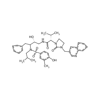 Cc1cc(S(=O)(=O)N(CC(C)C)C(Cc2ccccc2)[C@H](O)CNC(=O)[C@H](C(C)C)N2CCN(Cc3cnc4ccccc4c3)C2=O)ccc1O